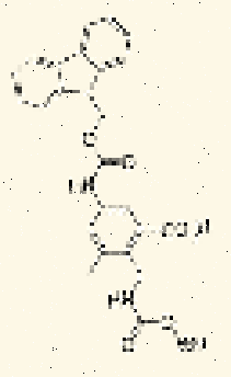 Cc1cc(NC(=O)OCC2c3ccccc3-c3ccccc32)cc(C(=O)O)c1CNC(=O)OC(C)(C)C